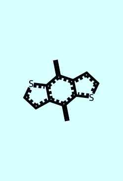 C=c1c2ccsc2c(=C)c2ccsc12